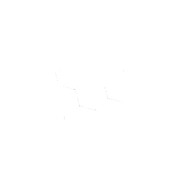 CC(CC(C=O)C(C)OC(C)(C)C)OC(C)(C)C